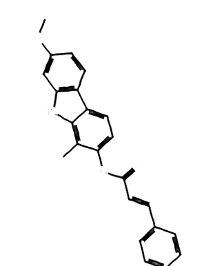 COc1ccc2c(c1)[nH]c1c(C)c(OC(=O)/C=C/c3ccccc3)ccc12